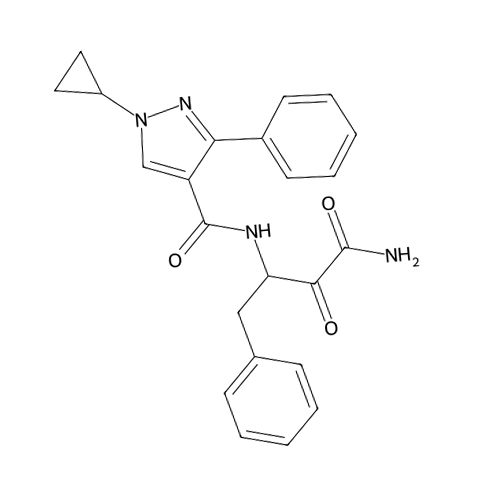 NC(=O)C(=O)C(Cc1ccccc1)NC(=O)c1cn(C2CC2)nc1-c1ccccc1